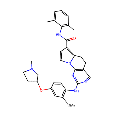 COc1cc(OC2CCN(C)C2)ccc1Nc1ncc2c(n1)-n1ccc(C(=O)Nc3c(C)cccc3C)c1CC2